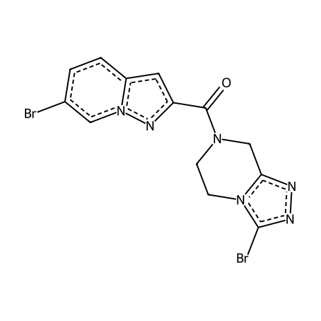 O=C(c1cc2ccc(Br)cn2n1)N1CCn2c(Br)nnc2C1